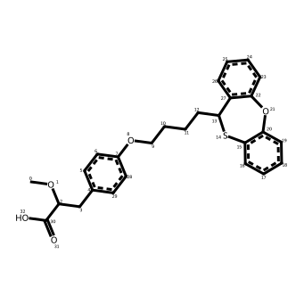 COC(Cc1ccc(OCCCCC2Sc3ccccc3Oc3ccccc32)cc1)C(=O)O